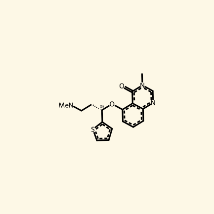 CNCC[C@H](Oc1cccc2ncn(C)c(=O)c12)c1cccs1